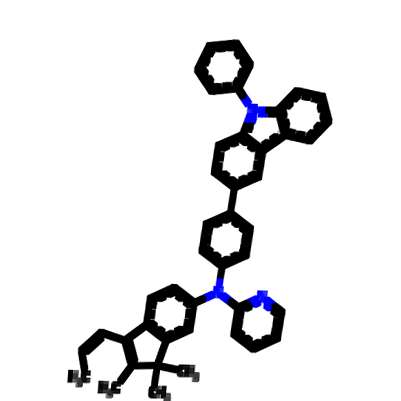 C/C=C\C1=C(C)C(C)(C)c2cc(N(c3ccc(-c4ccc5c(c4)c4ccccc4n5-c4ccccc4)cc3)c3ccccn3)ccc21